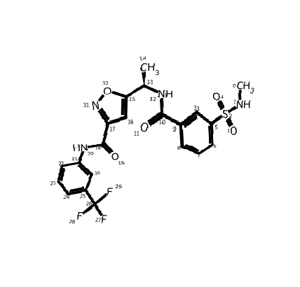 CNS(=O)(=O)c1cccc(C(=O)N[C@H](C)c2cc(C(=O)Nc3cccc(C(F)(F)F)c3)no2)c1